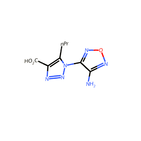 CCCc1c(C(=O)O)nnn1-c1nonc1N